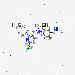 CC1CCN(c2nc(C(F)(F)F)ccc2CNC(=O)C(C)c2ccc(F)c(CN)c2)CC1